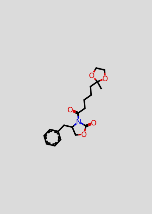 CC1(CCCCC(=O)N2C(=O)OCC2Cc2ccccc2)OCCO1